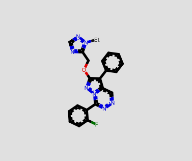 CCn1ncnc1COc1nn2c(-c3ccccc3F)nncc2c1-c1ccccc1